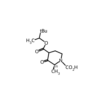 CC(OC(=O)C1CCN(C(=O)O)[C@@H](C)C1=O)C(C)(C)C